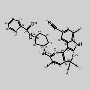 N#Cc1cc(F)c2[nH]cc(-c3nc(N[C@@H]4CCC[C@H](NC(=O)c5ccccn5)C4)c(F)cc3C(F)(F)F)c2c1